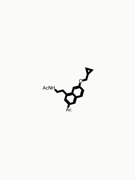 CC(=O)NCCc1cc(C(C)=O)cc2ccc(OCC3CC3)cc12